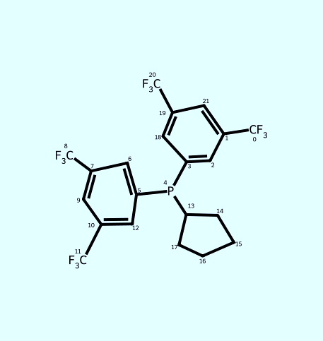 FC(F)(F)c1cc(P(c2cc(C(F)(F)F)cc(C(F)(F)F)c2)C2CCCC2)cc(C(F)(F)F)c1